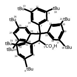 CC(C)(C)c1cc(C(C(=O)O)C(c2cc(C(C)(C)C)cc(C(C)(C)C)c2)(c2cc(C(C)(C)C)cc(C(C)(C)C)c2)c2cc(C(C)(C)C)cc(C(C)(C)C)c2)cc(C(C)(C)C)c1